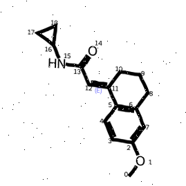 COc1ccc2c(c1)CCC/C2=C\C(=O)NC1CC1